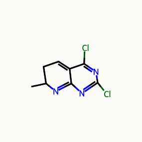 CC1CC=c2c(Cl)nc(Cl)nc2=N1